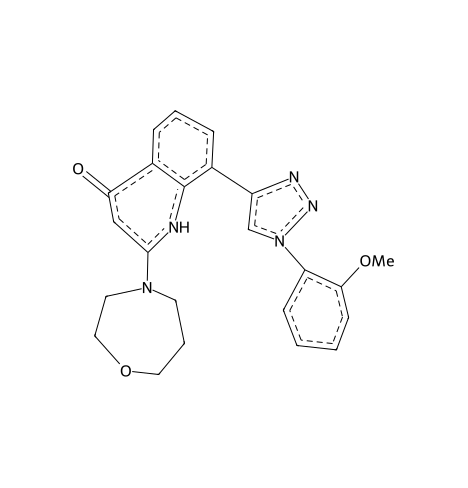 COc1ccccc1-n1cc(-c2cccc3c(=O)cc(N4CCCOCC4)[nH]c23)nn1